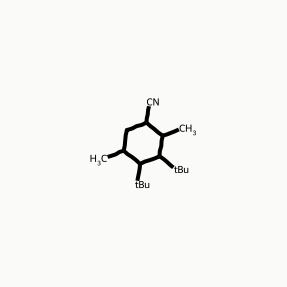 CC1CC(C#N)C(C)C(C(C)(C)C)C1C(C)(C)C